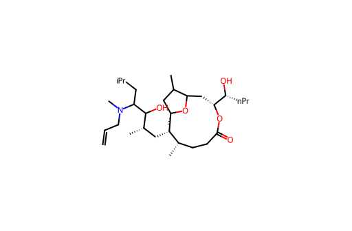 C=CCN(C)C(CC(C)C)C(O)[C@@H](C)C[C@H]1[C@@H](C)CCC(=O)O[C@@H]([C@H](O)CCC)CC2O[C@]1(C)CC2C